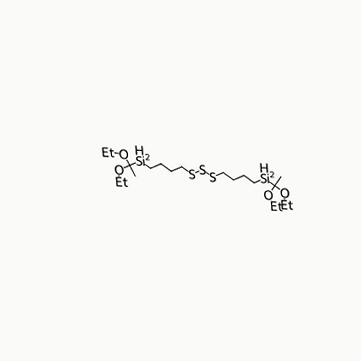 CCOC(C)(OCC)[SiH2]CCCCSSSCCCC[SiH2]C(C)(OCC)OCC